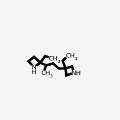 CCC1(CCC(C)C2(CC)CCN2)CNC1